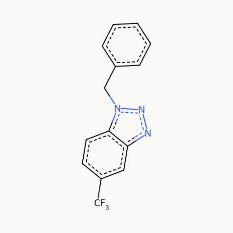 FC(F)(F)c1ccc2c(c1)nnn2Cc1ccccc1